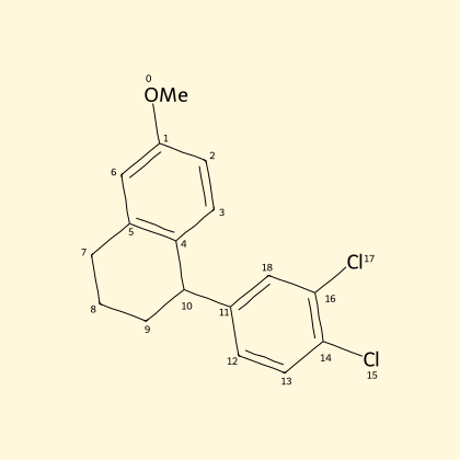 COc1ccc2c(c1)CCCC2c1ccc(Cl)c(Cl)c1